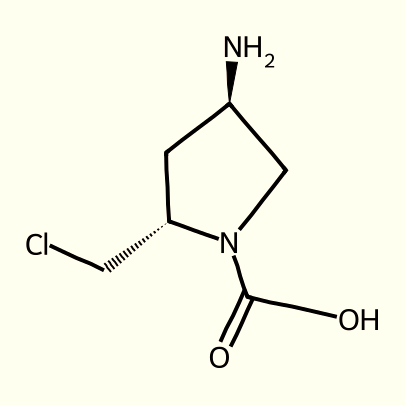 N[C@@H]1C[C@@H](CCl)N(C(=O)O)C1